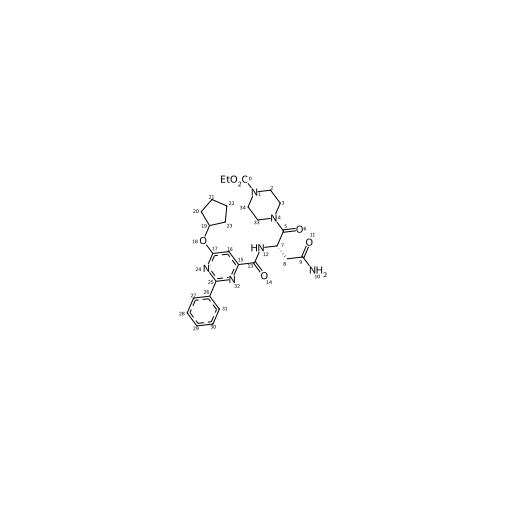 CCOC(=O)N1CCN(C(=O)[C@H](CC(N)=O)NC(=O)c2cc(OC3CCCC3)nc(-c3ccccc3)n2)CC1